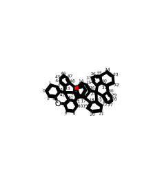 c1ccc2c(c1)Oc1cccc(-c3cccc4c3-c3ccccc3C43c4ccccc4-c4cccc5cccc3c45)c1C21c2ccccc2-c2ccccc21